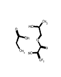 C=C(C#N)C(=O)OCC(C)O.CCC(=O)O